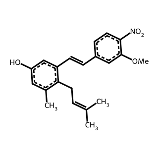 COc1cc(/C=C/c2cc(O)cc(C)c2CC=C(C)C)ccc1[N+](=O)[O-]